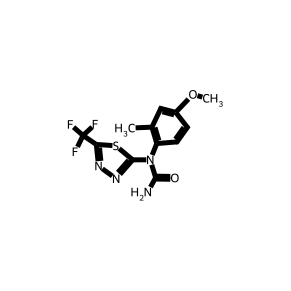 COc1ccc(N(C(N)=O)c2nnc(C(F)(F)F)s2)c(C)c1